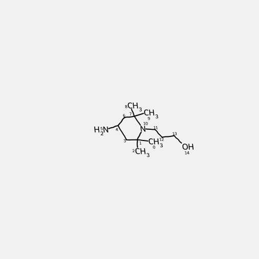 CC1(C)CC(N)CC(C)(C)N1CCCO